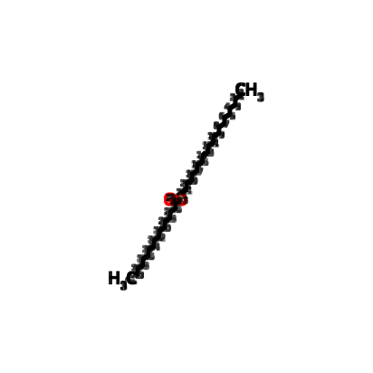 CCCCCCCCCCCCCCCCCCCCCCCOC(=O)CCCCCCCCCCCCCCCC